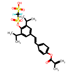 C=C(C)C(=O)Oc1ccc(C=Cc2cc(C(C)C)c(OS(=O)(=O)C(F)(F)S(=O)(=O)O)c(C(C)C)c2)cc1